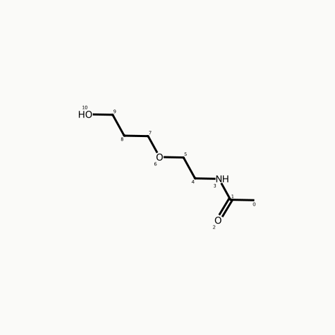 CC(=O)NCCOCCCO